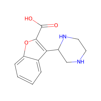 O=C(O)c1oc2ccccc2c1C1CNCCN1